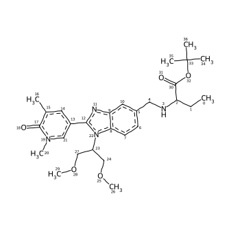 CCC(NCc1ccc2c(c1)nc(-c1cc(C)c(=O)n(C)c1)n2C(COC)COC)C(=O)OC(C)(C)C